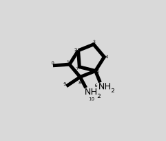 CC1C2CCC(N)(C2)C1(C)N